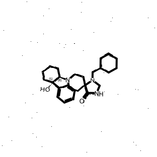 O=C1NCN(CC2CCCCC2)C12CCN([C@@H]1CCCC[C@]1(O)c1ccccc1)CC2